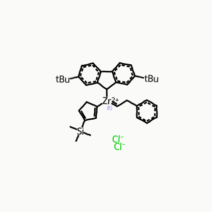 CC(C)(C)c1ccc2c(c1)[CH](/[Zr+2](=[CH]\Cc1ccccc1)[C]1=CC([Si](C)(C)C)=CC1)c1cc(C(C)(C)C)ccc1-2.[Cl-].[Cl-]